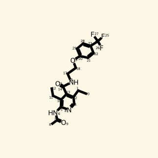 CCc1cnc(NC(C)=O)c(CC)c1C(=O)NCCOc1ccc(C(F)(F)F)cc1